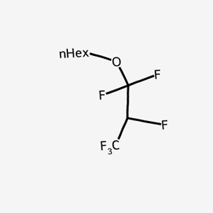 CCCCCCOC(F)(F)C(F)C(F)(F)F